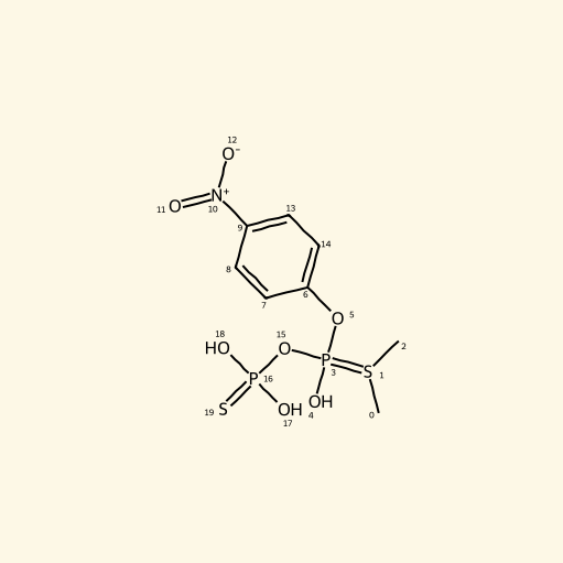 CS(C)=P(O)(Oc1ccc([N+](=O)[O-])cc1)OP(O)(O)=S